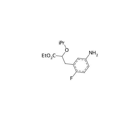 CCOC(=O)C(Cc1cc(N)ccc1F)OC(C)C